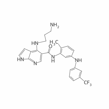 Cc1ccc(Nc2cccc(C(F)(F)F)c2)cc1NC(=O)c1cnc2[nH]ccc2c1NCCCN